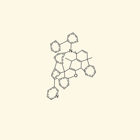 CC1C2=C3C(C)C4=C1C(C)(c1ccccc1)C=CC4(C)N(c1ccccc1-c1ccccc1)c1ccc4c(c1)C3(c1ccccc1O2)c1cc(-c2cccnc2)ccc1-4